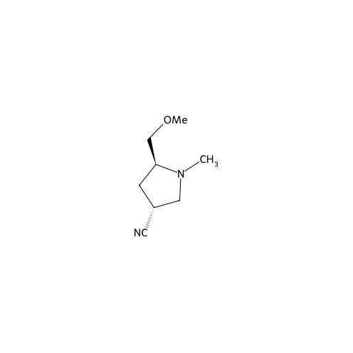 COC[C@@H]1C[C@@H](C#N)CN1C